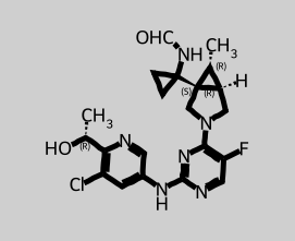 C[C@@H]1[C@H]2CN(c3nc(Nc4cnc([C@@H](C)O)c(Cl)c4)ncc3F)C[C@]12C1(NC=O)CC1